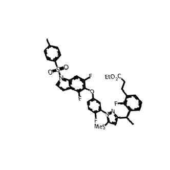 CCOC(=O)CCc1cccc(C(C)c2cc(SC)n(-c3cc(Oc4c(F)cc5c(ccn5S(=O)(=O)c5ccc(C)cc5)c4F)ccc3F)n2)c1F